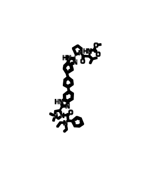 CCN(CC)[C@@H](C(=O)N1C[Si](C)(C)C[C@H]1c1nc2ccc(-c3ccc(-c4ccc5[nH]c([C@@H]6CCCN6C(=O)[C@@H](NC(=O)OC)C(C)C)nc5c4)cc3)cc2[nH]1)c1ccccc1